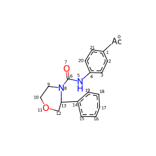 CC(=O)c1ccc(NC(=O)N2CCOCC2c2ccccc2)cc1